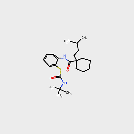 CC(C)CCC1(C(=O)Nc2ccccc2SC(=O)NC(C)(C)C)CCCCC1